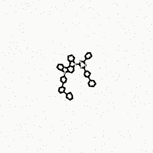 c1ccc(-c2ccc(-c3nc(-c4ccccc4)nc(-n4c5ccccc5c5c6c7ccccc7n(-c7ccc(-c8cccc(-c9ccccc9)c8)cc7)c6ccc54)n3)cc2)cc1